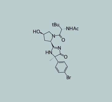 CC(=O)N[C@H](C(=O)N1C[C@H](O)C[C@@H]1C1=NC(=O)[C@@](C)(c2ccc(Br)cc2)N1)C(C)(C)C